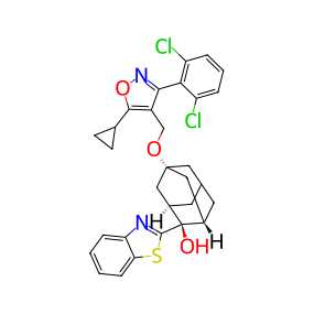 O[C@@]1(c2nc3ccccc3s2)[C@@H]2CC3C[C@H]1C[C@](OCc1c(-c4c(Cl)cccc4Cl)noc1C1CC1)(C3)C2